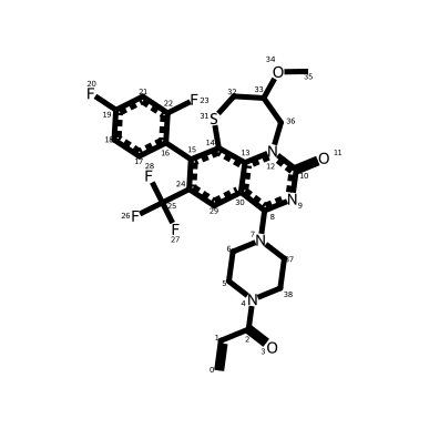 C=CC(=O)N1CCN(c2nc(=O)n3c4c(c(-c5ccc(F)cc5F)c(C(F)(F)F)cc24)SCC(OC)C3)CC1